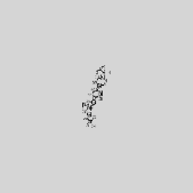 CC(C)[C@H](C)N1CCN(c2ccc(OCC(F)(F)COCC(C)(C)C)cn2)CC1